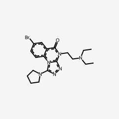 CCN(CC)CCn1c(=O)c2cc(Br)ccc2n2c(N3CCCC3)nnc12